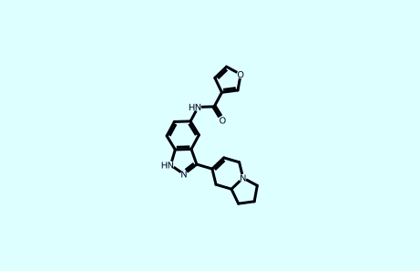 O=C(Nc1ccc2[nH]nc(C3=CCN4CCCC4C3)c2c1)c1ccoc1